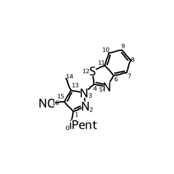 CCCC(C)c1nn(-c2nc3ccccc3s2)c(C)c1C#N